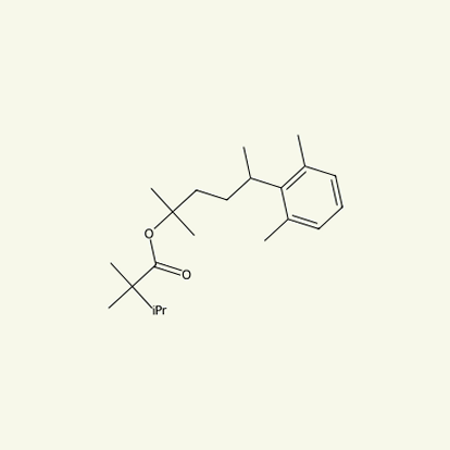 Cc1cccc(C)c1C(C)CCC(C)(C)OC(=O)C(C)(C)C(C)C